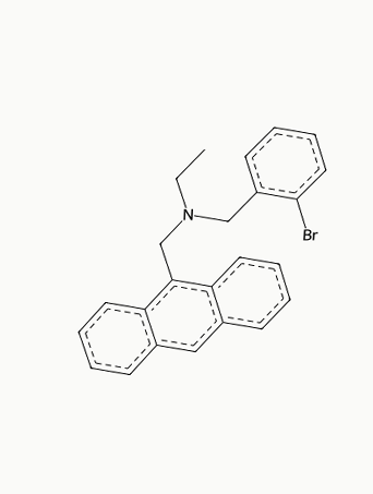 CCN(Cc1ccccc1Br)Cc1c2ccccc2cc2ccccc12